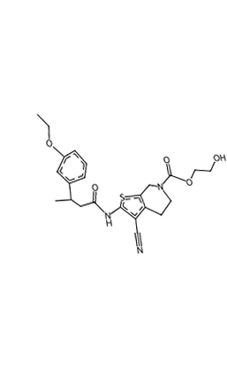 CCOc1cccc(C(C)CC(=O)Nc2sc3c(c2C#N)CCN(C(=O)OCCO)C3)c1